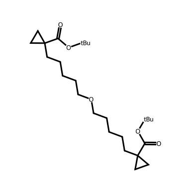 CC(C)(C)OC(=O)C1(CCCCCOCCCCCC2(C(=O)OC(C)(C)C)CC2)CC1